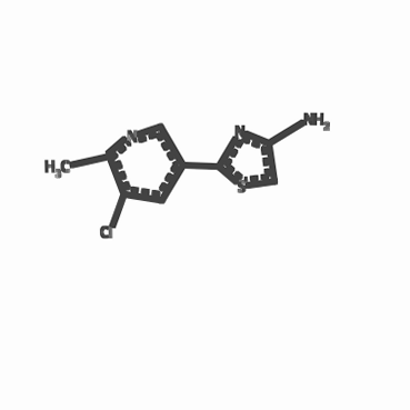 Cc1ncc(-c2nc(N)cs2)cc1Cl